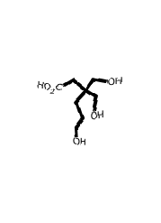 O=C(O)CC(CO)(CO)CCCO